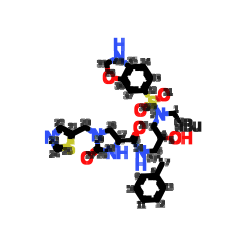 CC[C@H](C)CN(C[C@@H](O)[C@H](Cc1ccccc1)NC(=O)[C@@H]1CN(Cc2cncs2)C(=O)N1)S(=O)(=O)c1ccc2c(c1)OCN2